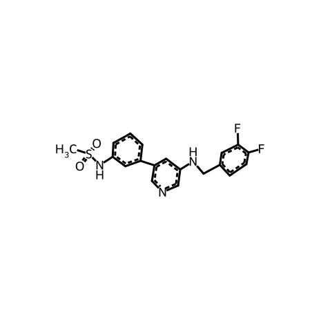 CS(=O)(=O)Nc1cccc(-c2cncc(NCc3ccc(F)c(F)c3)c2)c1